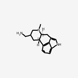 CN1CC(CN)C[C@H]2c3cccc4[nH]cc(c34)C[C@@H]21